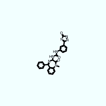 CN1C(=O)C(NC(=O)Nc2cccc(C3=NC(=O)N=N3)c2)N=C(c2ccccc2)c2ccccc21